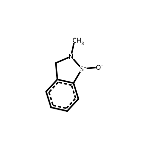 CN1Cc2ccccc2[S+]1[O-]